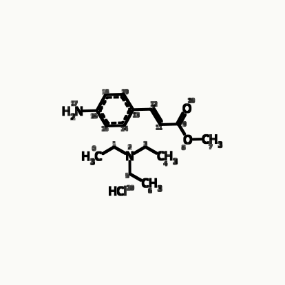 CCN(CC)CC.COC(=O)C=Cc1ccc(N)cc1.Cl